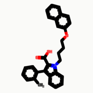 Cc1ccccc1-c1c(C(=O)O)n(CCCCOc2ccc3ccccc3c2)c2ccccc12